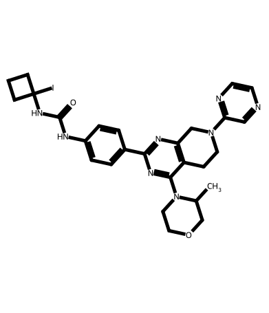 CC1COCCN1c1nc(-c2ccc(NC(=O)NC3(I)CCC3)cc2)nc2c1CCN(c1cnccn1)C2